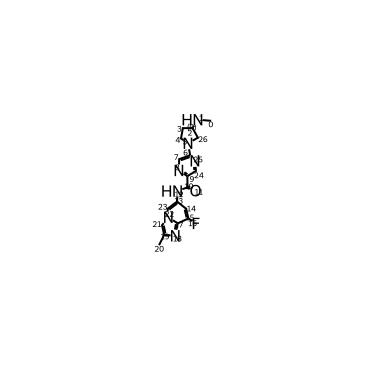 CN[C@@H]1CCN(c2cnc(C(=O)Nc3cc(F)c4nc(C)cn4c3)cn2)C1